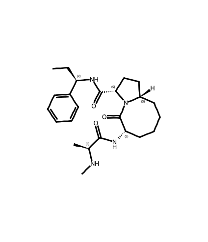 CC[C@@H](NC(=O)[C@@H]1CC[C@@H]2CCCC[C@H](NC(=O)[C@H](C)NC)C(=O)N21)c1ccccc1